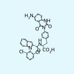 Nc1ccc2[nH]c(=O)n(-c3ccc(CC(NC(=O)c4cc5ccccc5n4-c4c(Cl)cccc4Cl)C(=O)O)cc3)c(=O)c2c1